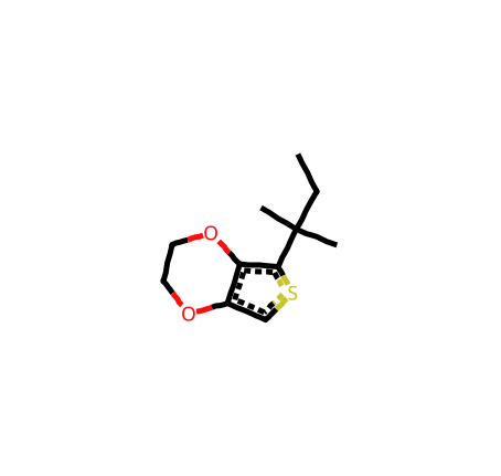 CCC(C)(C)c1scc2c1OCCO2